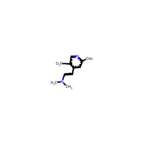 CC(=O)Oc1cc(/C=C/N(C)C)c([N+](=O)[O-])cn1